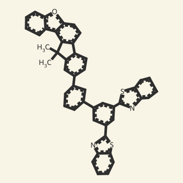 CC1(C)c2cc(-c3cccc(-c4cc(-c5nc6ccccc6s5)cc(-c5nc6ccccc6s5)c4)c3)ccc2-c2ccc3oc4ccccc4c3c21